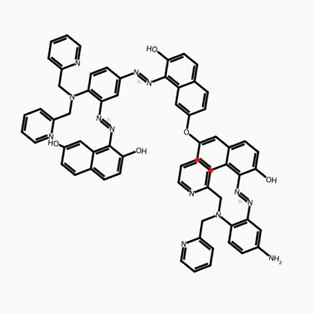 Nc1ccc(N(Cc2ccccn2)Cc2ccccn2)c(/N=N/c2c(O)ccc3cc(Oc4ccc5ccc(O)c(/N=N/c6ccc(N(Cc7ccccn7)Cc7ccccn7)c(/N=N/c7c(O)ccc8ccc(O)cc78)c6)c5c4)ccc23)c1